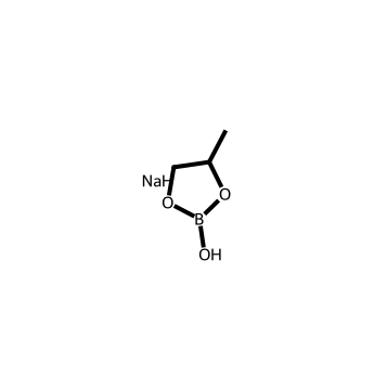 CC1COB(O)O1.[NaH]